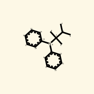 CC(C)C(C)(C)N(c1ccccc1)c1ccccc1